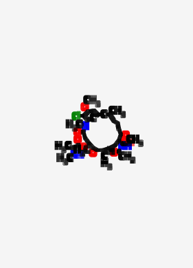 C=C1N[C@]2(O)C[C@H](O1)[C@@H](C)C1O[C@@]1(C)[C@@H](OC(=O)[C@H](C)NC)CC(=O)N(C)c1cc(cc(OC)c1Cl)C/C(C)=C/C=C/[C@H]2OC